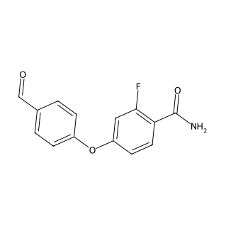 NC(=O)c1ccc(Oc2ccc(C=O)cc2)cc1F